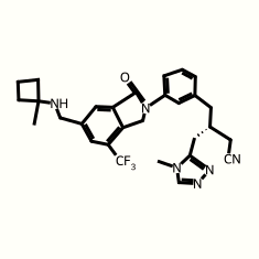 Cn1cnnc1C[C@@H](CC#N)Cc1cccc(N2Cc3c(cc(CNC4(C)CCC4)cc3C(F)(F)F)C2=O)c1